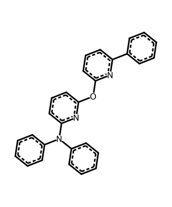 c1ccc(-c2cccc(Oc3cccc(N(c4ccccc4)c4ccccc4)n3)n2)cc1